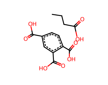 CCCC(=O)O.O=C(O)c1ccc(C(=O)O)c(C(=O)O)c1